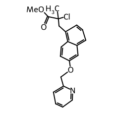 COC(=O)C(C)(Cl)Cc1cccc2cc(OCc3ccccn3)ccc12